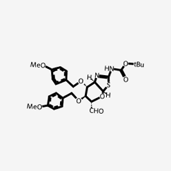 COc1ccc(CO[C@@H]2[C@H]3N=C(NC(=O)OC(C)(C)C)S[C@H]3O[C@H](C=O)[C@H]2OCc2ccc(OC)cc2)cc1